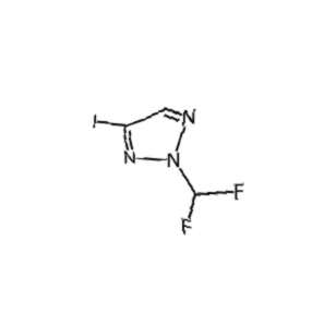 FC(F)n1ncc(I)n1